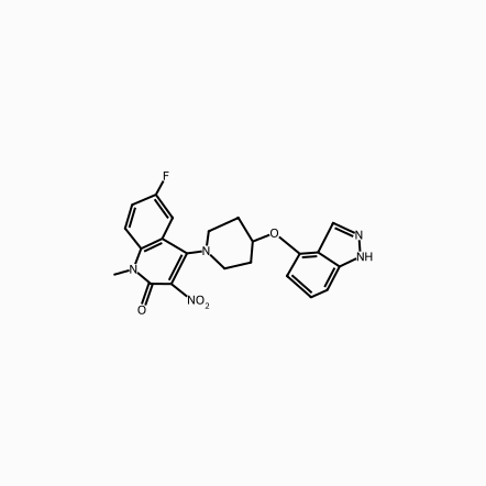 Cn1c(=O)c([N+](=O)[O-])c(N2CCC(Oc3cccc4[nH]ncc34)CC2)c2cc(F)ccc21